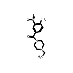 CCN1CCN(C(=O)c2ccc(C)c([N+](=O)[O-])c2)CC1